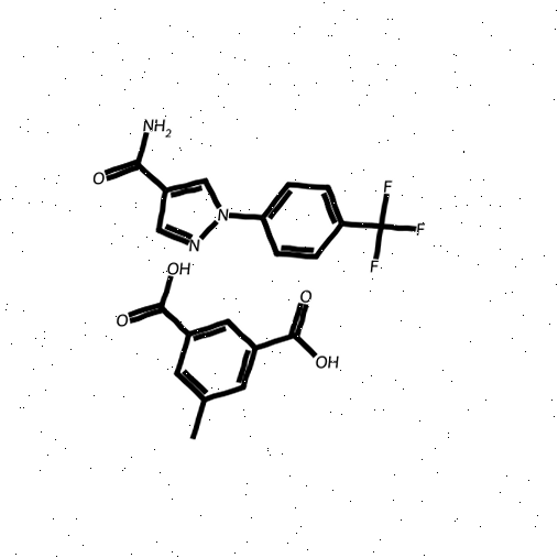 Cc1cc(C(=O)O)cc(C(=O)O)c1.NC(=O)c1cnn(-c2ccc(C(F)(F)F)cc2)c1